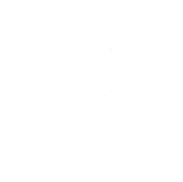 CC1CCC2(OC1)OC1CC3C4CC(C)C5(C)CC(C)CC(C)C5(C)C4C(C)C(=O)C3(C)C1C2C